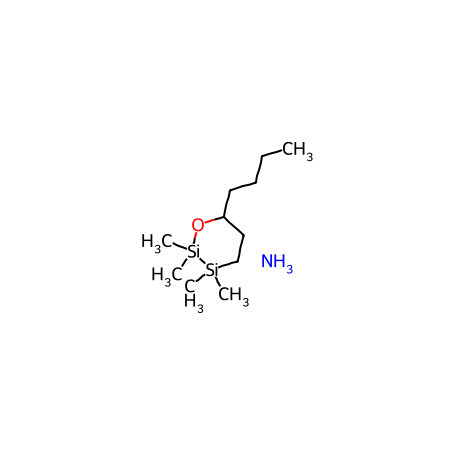 CCCCC1CC[Si](C)(C)[Si](C)(C)O1.N